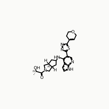 C[C@H](O)C(=O)N1C[C@H]2CC(Nc3c(-c4nnc(C5=CCOCC5)s4)cnc4[nH]ccc34)C[C@H]2C1